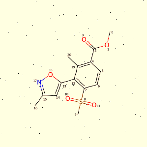 COC(=O)c1ccc(S(C)(=O)=O)c(-c2cc(C)no2)c1C